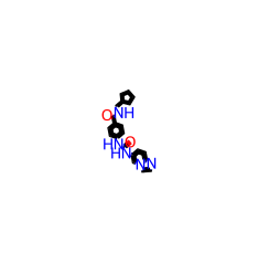 O=C(Nc1ccc(C(=O)NCC2CCCC2)cc1)Nc1ccc2nccn2c1